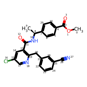 COC(=O)c1ccc([C@H](C)NC(=O)c2cc(Cl)cnc2Cc2cccc(C#N)c2)cc1